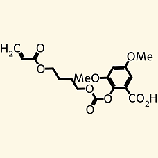 C=CC(=O)OCCCCOC(=O)Oc1c(OC)cc(OC)cc1C(=O)O